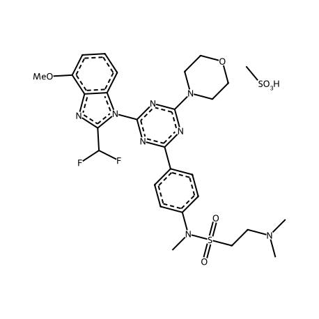 COc1cccc2c1nc(C(F)F)n2-c1nc(-c2ccc(N(C)S(=O)(=O)CCN(C)C)cc2)nc(N2CCOCC2)n1.CS(=O)(=O)O